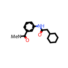 CNC(=O)c1cccc(NC(=O)CC2CCCCC2)c1